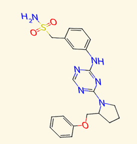 NS(=O)(=O)Cc1cccc(Nc2ncnc(N3CCCC3COc3ccccc3)n2)c1